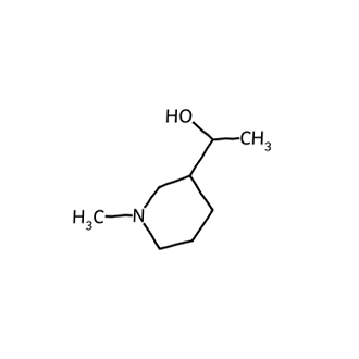 CC(O)C1CCCN(C)C1